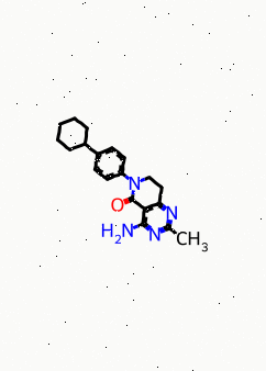 Cc1nc(N)c2c(n1)CCN(c1ccc(C3CCCCC3)cc1)C2=O